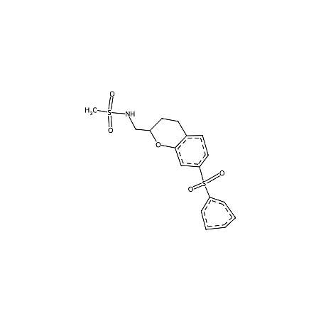 CS(=O)(=O)NCC1CCc2ccc(S(=O)(=O)c3ccccc3)cc2O1